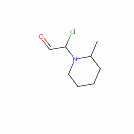 CC1CCCCN1C(Cl)C=O